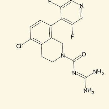 NC(N)=NC(=O)N1CCc2c(Cl)ccc(-c3c(F)cncc3F)c2C1